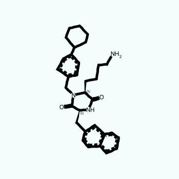 NCCCC[C@H]1C(=O)N[C@@H](Cc2ccc3ccccc3c2)C(=O)N1Cc1ccc(C2CCCCC2)cc1